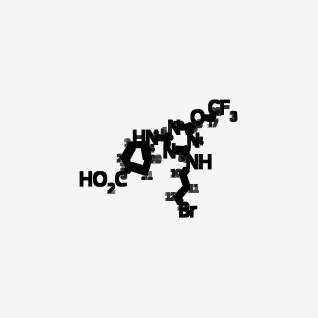 O=C(O)c1ccc(Nc2nc(NCCCBr)nc(OCC(F)(F)F)n2)cc1